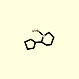 C[N]N1CCCCC1C1CCCC1